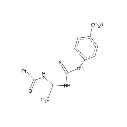 CC(C)C(=O)NC(NC(=S)Nc1ccc(C(=O)O)cc1)C(Cl)(Cl)Cl